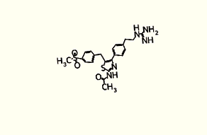 CC(=O)Nc1nc(-c2ccc(CCNC(=N)N)cc2)c(Cc2ccc(S(C)(=O)=O)cc2)s1